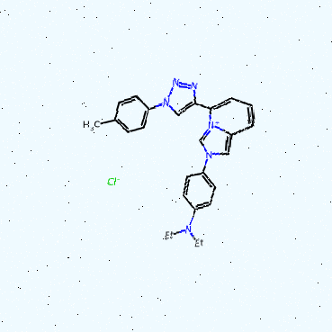 CCN(CC)c1ccc(-n2cc3cccc(-c4cn(-c5ccc(C)cc5)nn4)[n+]3c2)cc1.[Cl-]